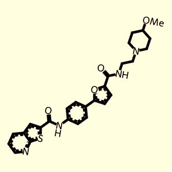 COC1CCN(CCNC(=O)c2ccc(-c3ccc(NC(=O)c4cc5cccnc5s4)cc3)o2)CC1